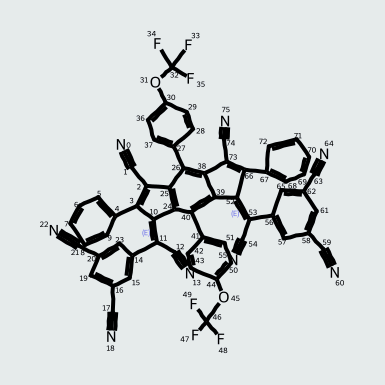 N#CC1=C(c2ccccc2)/C(=C(/C#N)c2cc(C#N)cc(C#N)c2)c2c1c(-c1ccc(OC(F)(F)F)cc1)c1c(c2-c2ccc(OC(F)(F)F)cc2)/C(=C(\C#N)c2cc(C#N)cc(C#N)c2)C(c2ccccc2)=C1C#N